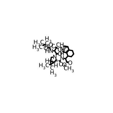 COC(=O)C(NC(=O)[C@@H]1[C@@H]2[C@H](CN1C(=O)C(NC(=O)OC(C)(C)C)C(C)(C)C)C2(C)C)C1CCCc2ccncc21